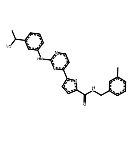 Cc1cccc(CNC(=O)c2ccc(-c3ccnc(Nc4cccc(C(C)O)c4)n3)s2)c1